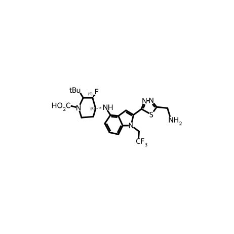 CC(C)(C)C1[C@@H](F)[C@H](Nc2cccc3c2cc(-c2nnc(CN)s2)n3CC(F)(F)F)CCN1C(=O)O